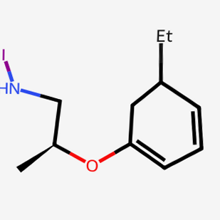 CCC1C=CC=C(O[C@@H](C)CNI)C1